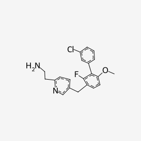 COc1ccc(Cc2ccc(CCN)nc2)c(F)c1-c1cccc(Cl)c1